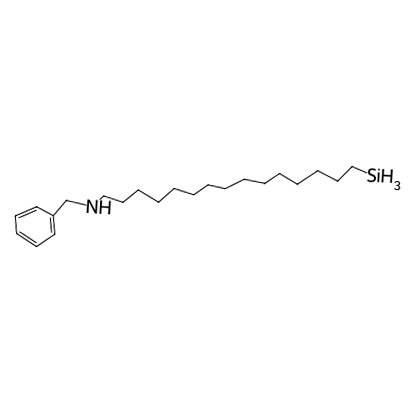 [SiH3]CCCCCCCCCCCCCCCNCc1ccccc1